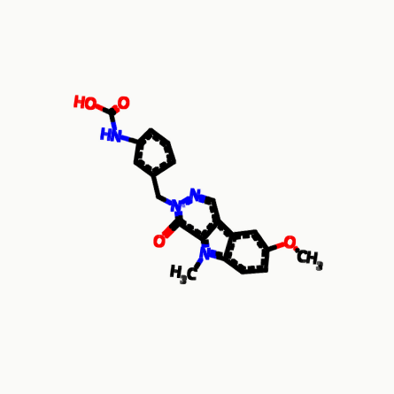 COc1ccc2c(c1)c1cnn(Cc3cccc(NC(=O)O)c3)c(=O)c1n2C